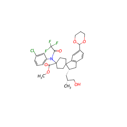 COC(=O)C1(N(C(=O)C(F)(F)F)c2cccc(Cl)c2)CCC2(CC1)c1cc(C3OCCCO3)ccc1C[C@@H]2C[C@@H](C)CO